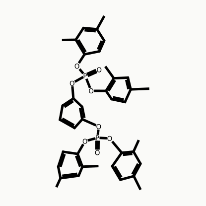 Cc1ccc(OP(=O)(Oc2cccc(OP(=O)(Oc3ccc(C)cc3C)Oc3ccc(C)cc3C)c2)Oc2ccc(C)cc2C)c(C)c1